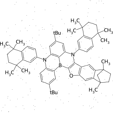 CC(C)(C)c1ccc2c(c1)B1c3oc4cc5c(cc4c3N(c3ccc4c(c3)C(C)(C)CCC4(C)C)c3cc(C(C)(C)C)cc(c31)N2c1ccc2c(c1)C(C)(C)CCC2(C)C)C1(C)CCC5(C)C1